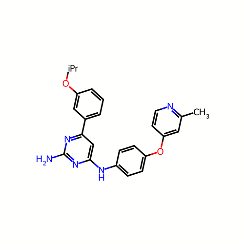 Cc1cc(Oc2ccc(Nc3cc(-c4cccc(OC(C)C)c4)nc(N)n3)cc2)ccn1